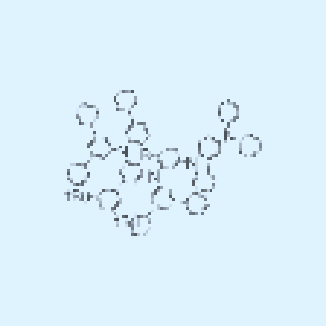 CC(C)(C)c1cc(-c2cc3c4c(c2)N(c2cc(-c5ccccc5)cc(-c5ccccc5)c2)c2cc(-n5c6ccccc6c6cc(N(c7ccccc7)c7ccccc7)ccc65)ccc2B4c2ccc(-c4ccccc4)cc2N3c2cc(-c3ccccc3)cc(-c3ccccc3)c2)cc(C(C)(C)C)c1